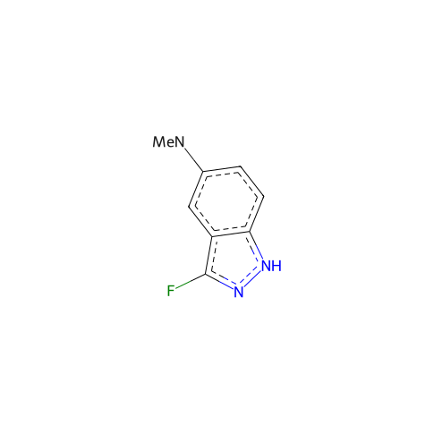 CNc1ccc2[nH]nc(F)c2c1